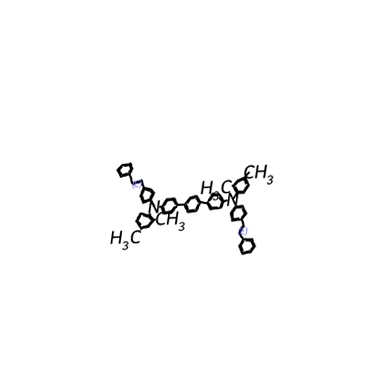 Cc1ccc(N(c2ccc(/C=C/c3ccccc3)cc2)c2ccc(-c3ccc(-c4ccc(N(c5ccc(/C=C/c6ccccc6)cc5)c5ccc(C)cc5C)cc4)cc3)cc2)c(C)c1